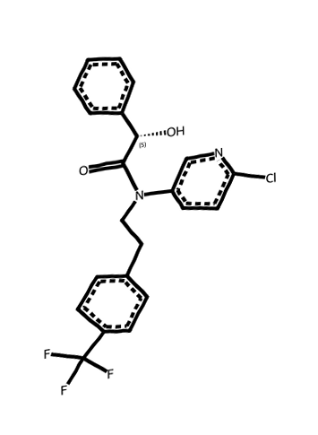 O=C([C@@H](O)c1ccccc1)N(CCc1ccc(C(F)(F)F)cc1)c1ccc(Cl)nc1